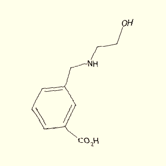 O=C(O)c1cccc(CNCCO)c1